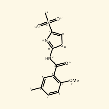 COc1ccc(C)cc1C(=O)Nc1nc(S(C)(=O)=O)cs1